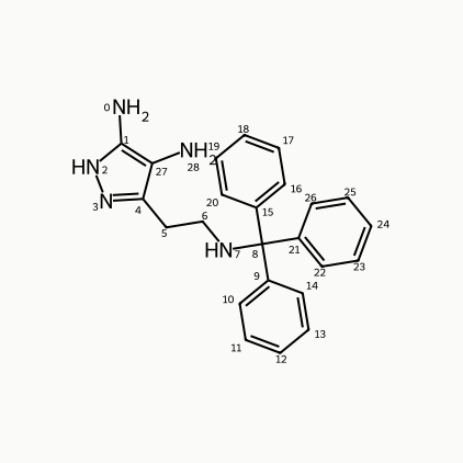 Nc1[nH]nc(CCNC(c2ccccc2)(c2ccccc2)c2ccccc2)c1N